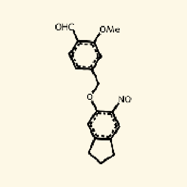 COc1cc(COc2cc3c(cc2N=O)CCC3)ccc1C=O